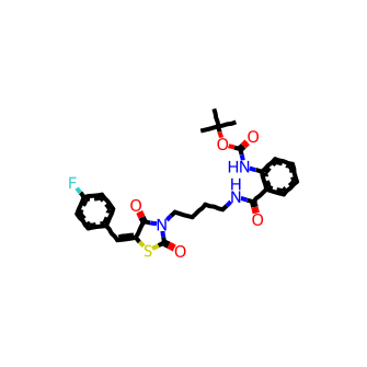 CC(C)(C)OC(=O)Nc1ccccc1C(=O)NCCCCN1C(=O)SC(=Cc2ccc(F)cc2)C1=O